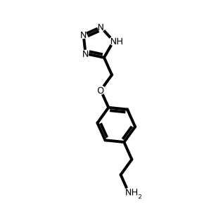 NCCc1ccc(OCc2nnn[nH]2)cc1